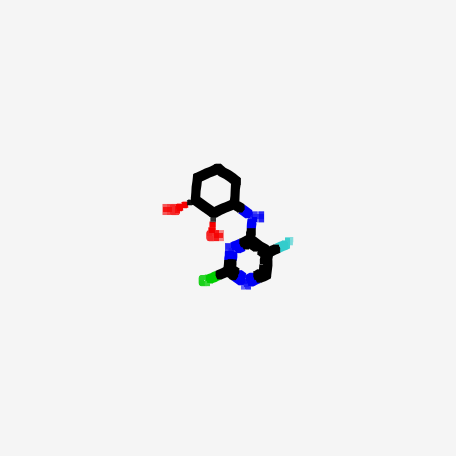 O[C@@H]1CCCC(Nc2nc(Cl)ncc2F)[C@@H]1O